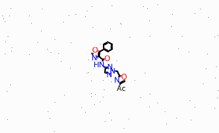 CC(=O)c1coc(Cn2ncc(NC(=O)c3ncoc3-c3ccccc3)n2)n1